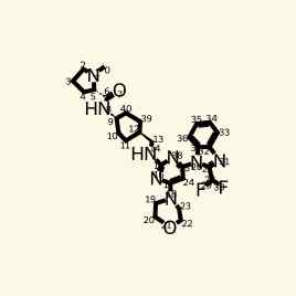 CN1CCC[C@H]1C(=O)N[C@H]1CC[C@H](CNc2nc(N3CCOCC3)cc(-n3c(C(F)F)nc4ccccc43)n2)CC1